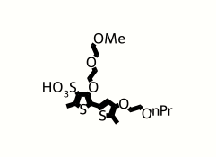 CCCOCCOc1cc(-c2sc(C)c(S(=O)(=O)O)c2OCCOCCOC)sc1C